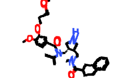 COCCCOc1cc(C(=O)N(C[C@@H]2CNCC2CN(C)C(=O)C2CCc3ccccc3C2)C(C)C)ccc1OC